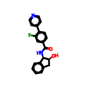 O=C(N[C@@H]1c2ccccc2C[C@@H]1O)c1ccc(-c2ccncc2)c(F)c1